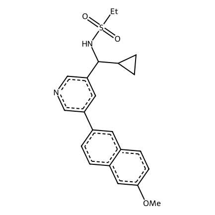 CCS(=O)(=O)NC(c1cncc(-c2ccc3cc(OC)ccc3c2)c1)C1CC1